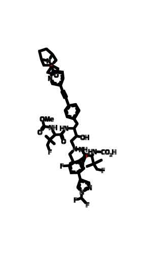 COC(=O)NC(C(=O)NC(Cc1ccc(C#Cc2ccc(N3CC4CCC(C3)N4C3COC3)nc2)cc1)C(O)CN(Cc1c(F)cc(-c2cnn(C(F)F)c2)cc1F)NC(=O)C(NC(=O)O)C(C)(C)CF)C(C)(C)CF